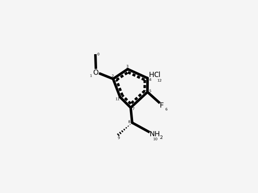 COc1ccc(F)c([C@@H](C)N)c1.Cl